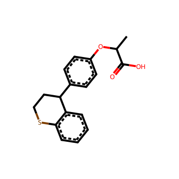 CC(Oc1ccc(C2CCSc3ccccc32)cc1)C(=O)O